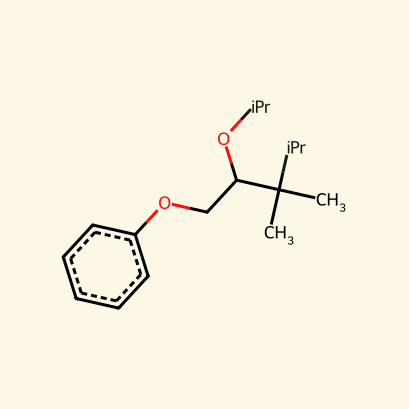 CC(C)OC(COc1ccccc1)C(C)(C)C(C)C